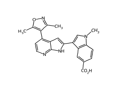 Cc1noc(C)c1-c1ccnc2[nH]c(-c3cn(C)c4ccc(C(=O)O)cc34)cc12